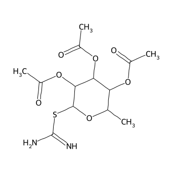 CC(=O)OC1C(C)OC(SC(=N)N)C(OC(C)=O)C1OC(C)=O